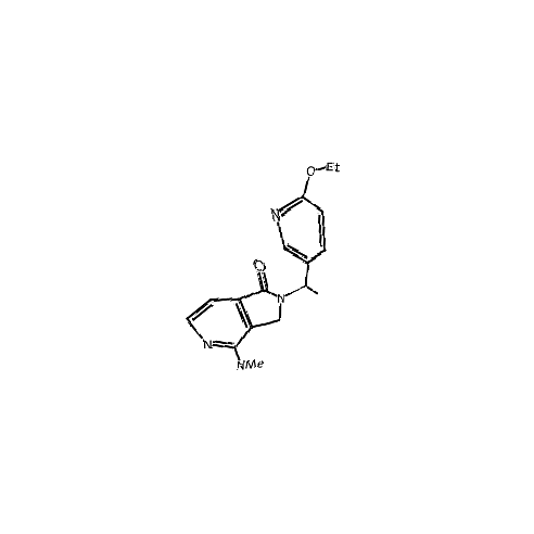 CCOc1ccc(C(C)N2Cc3c(ccnc3NC)C2=O)cn1